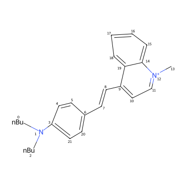 CCCCN(CCCC)c1ccc(C=Cc2cc[n+](C)c3ccccc23)cc1